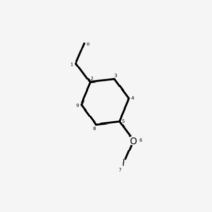 CCC1CCC(OI)CC1